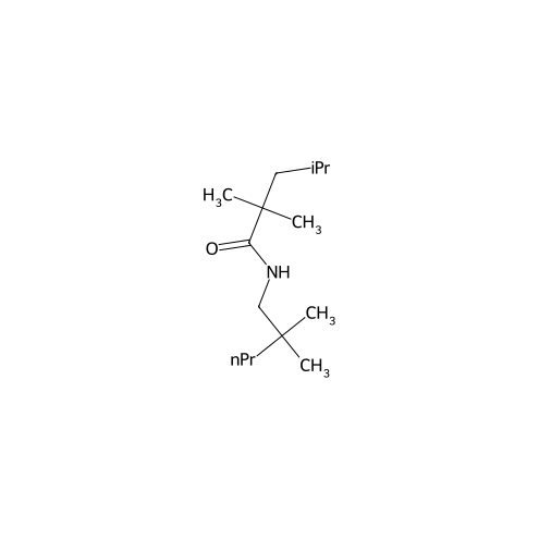 CCCC(C)(C)CNC(=O)C(C)(C)CC(C)C